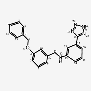 c1ccc(COc2cccc(CNc3cccc(-c4nn[nH]n4)c3)c2)cc1